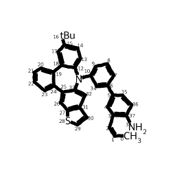 C/C=C\c1cc(-c2cccc(N3c4ccc(C(C)(C)C)cc4-c4ccccc4-c4cc5sccc5cc43)c2)ccc1N